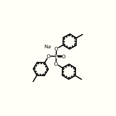 Cc1ccc(OP(=O)(Oc2ccc(C)cc2)Oc2ccc(C)cc2)cc1.[Na]